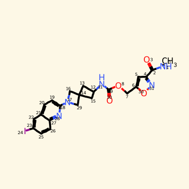 CNC(=O)c1cc(COC(=O)NC2CC3(C2)CN(c2ccc4cc(I)ccc4n2)C3)on1